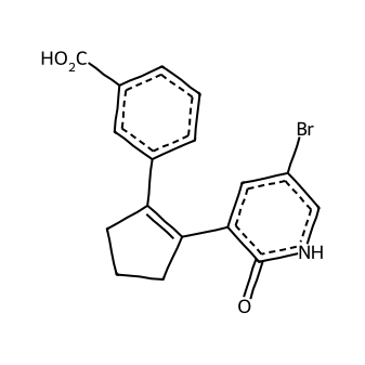 O=C(O)c1cccc(C2=C(c3cc(Br)c[nH]c3=O)CCC2)c1